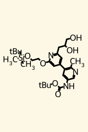 Cc1ncc(NC(=O)OC(C)(C)C)cc1-c1cc(CC(O)CO)nc(OCCO[Si](C)(C)C(C)(C)C)c1